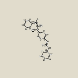 CN(NC(=O)c1ccc(CNCc2ccccc2)cc1)c1ccccc1